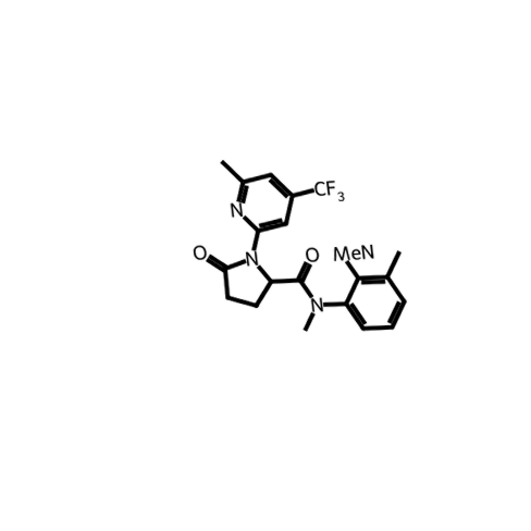 CNc1c(C)cccc1N(C)C(=O)C1CCC(=O)N1c1cc(C(F)(F)F)cc(C)n1